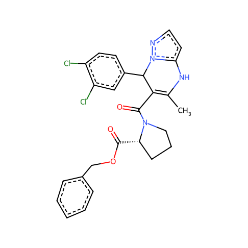 CC1=C(C(=O)N2CCC[C@@H]2C(=O)OCc2ccccc2)C(c2ccc(Cl)c(Cl)c2)n2nccc2N1